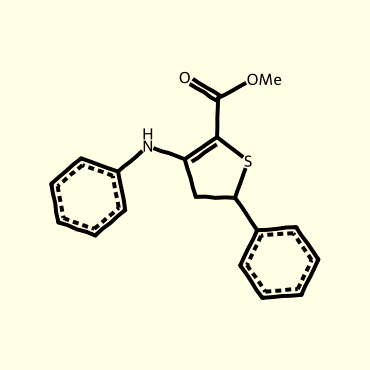 COC(=O)C1=C(Nc2ccccc2)CC(c2ccccc2)S1